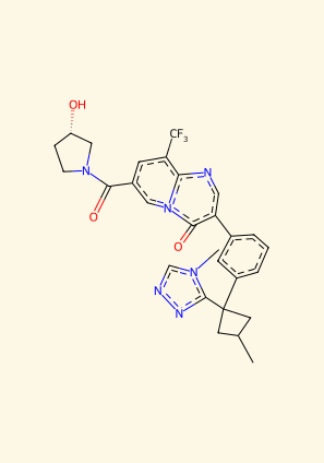 CC1CC(c2cccc(-c3cnc4c(C(F)(F)F)cc(C(=O)N5CC[C@H](O)C5)cn4c3=O)c2)(c2nncn2C)C1